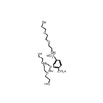 CCCCOCCCC.O=C(O)c1ccc(C(=O)O)cc1.OCCOCCOCCO.OCCOCCOCCO